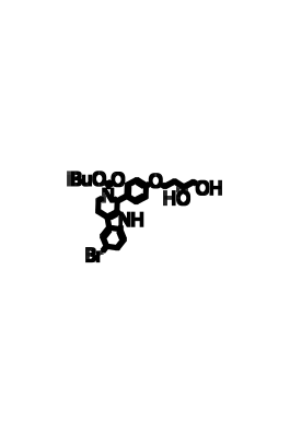 CC(C)COC(=O)N1CCc2c([nH]c3c2=CC(Br)CC=3)C1c1ccc(OCC[C@H](O)CO)cc1